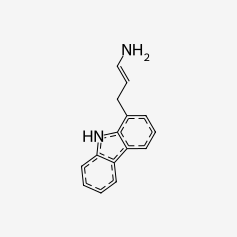 N/C=C/Cc1cccc2c1[nH]c1ccccc12